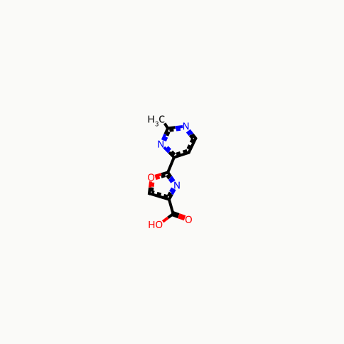 Cc1nccc(-c2nc(C(=O)O)co2)n1